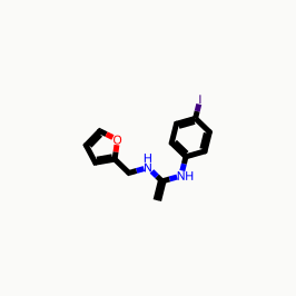 C=C(NCc1ccco1)Nc1ccc(I)cc1